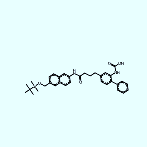 CC(C)(C)[Si](C)(C)OCc1ccc2cc(NC(=O)CCCc3ccc(-c4ccccc4)c(NC(=O)O)c3)ccc2c1